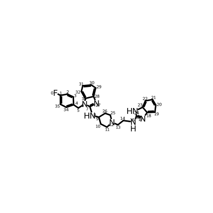 Fc1ccc(Cn2c(NC3CCN(CCNc4nc5ccccc5[nH]4)CC3)nc3ccccc32)cc1